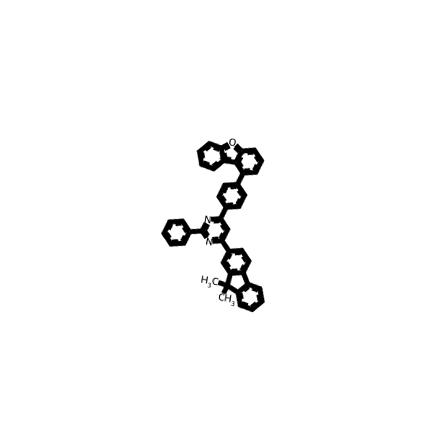 CC1(C)c2ccccc2-c2ccc(-c3cc(-c4ccc(-c5cccc6oc7ccccc7c56)cc4)nc(-c4ccccc4)n3)cc21